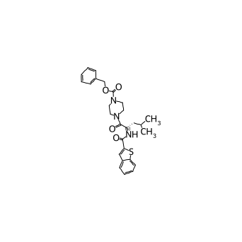 CC(C)C[C@H](NC(=O)c1cc2ccccc2s1)C(=O)N1CCN(C(=O)OCc2ccccc2)CC1